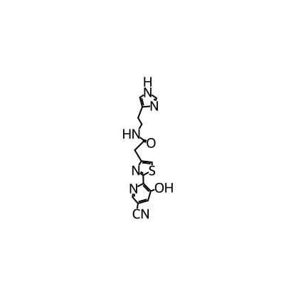 N#Cc1cnc(-c2nc(CC(=O)NCCc3c[nH]cn3)cs2)c(O)c1